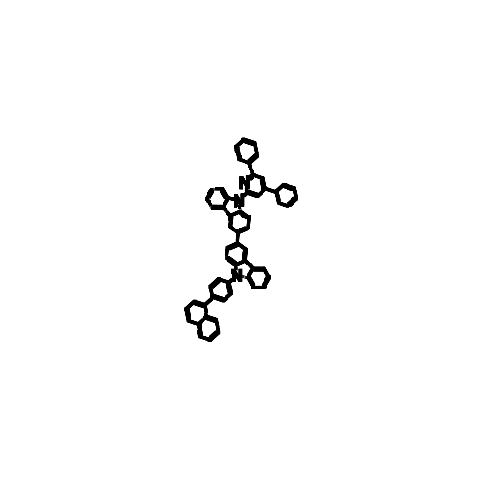 c1ccc(-c2cc(-c3ccccc3)nc(-n3c4ccccc4c4cc(-c5ccc6c(c5)c5ccccc5n6-c5ccc(-c6cccc7ccccc67)cc5)ccc43)c2)cc1